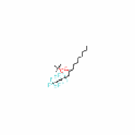 CCCCCCCCC(CC(F)(F)C(F)(F)C(F)(F)C(F)(F)F)OOC(C)(C)C